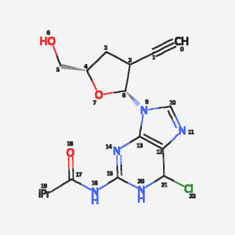 C#CC1C[C@@H](CO)O[C@H]1n1cnc2c1N=C(NC(=O)C(C)C)NC2Cl